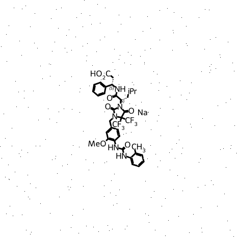 COc1cc(CN2C(=O)N([C@@H](CC(C)C)C(=O)N[C@@H](CC(=O)O)c3ccccc3)C(=O)C2(C(F)(F)F)C(F)(F)F)ccc1NC(=O)Nc1ccccc1C.[Na]